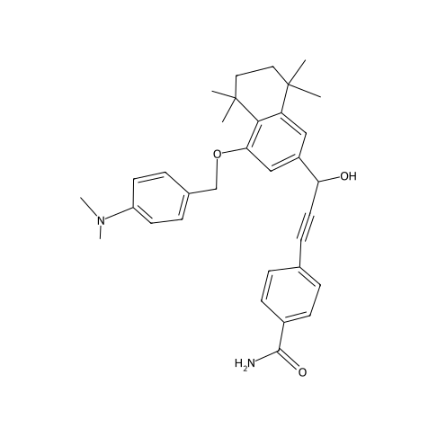 CN(C)c1ccc(COc2cc(C(O)C#Cc3ccc(C(N)=O)cc3)cc3c2C(C)(C)CCC3(C)C)cc1